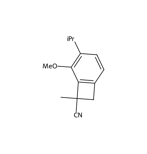 COc1c(C(C)C)ccc2c1C(C)(C#N)C2